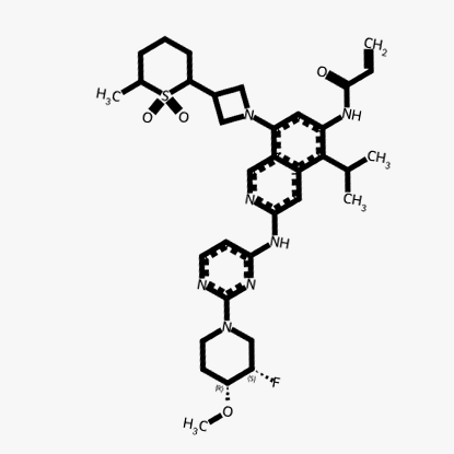 C=CC(=O)Nc1cc(N2CC(C3CCCC(C)S3(=O)=O)C2)c2cnc(Nc3ccnc(N4CC[C@@H](OC)[C@@H](F)C4)n3)cc2c1C(C)C